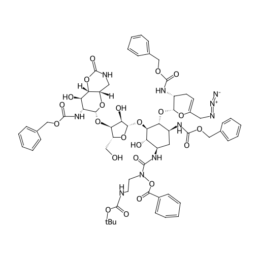 CC(C)(C)OC(=O)NCCN(OC(=O)c1ccccc1)C(=O)N[C@@H]1C[C@H](NC(=O)OCc2ccccc2)[C@@H](O[C@H]2OC(CN=[N+]=[N-])=CC[C@H]2NC(=O)OCc2ccccc2)[C@H](O[C@@H]2O[C@H](CO)[C@@H](O[C@H]3O[C@H]4CNC(=O)O[C@H]4[C@H](O)[C@H]3NC(=O)OCc3ccccc3)[C@H]2O)[C@H]1O